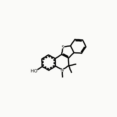 CN1c2cc(O)ccc2C2=C(C3C=CC=CC3S2)C1(C)C